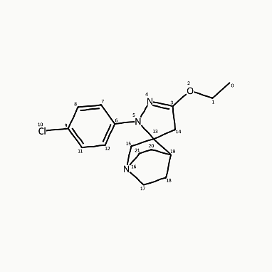 CCOC1=NN(c2ccc(Cl)cc2)C2(C1)CN1CCC2CC1